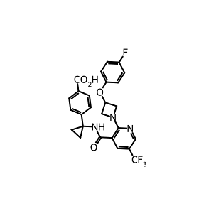 O=C(O)c1ccc(C2(NC(=O)c3cc(C(F)(F)F)cnc3N3CC(Oc4ccc(F)cc4)C3)CC2)cc1